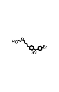 CN(CCO)CCCCc1ccc2c(-c3ccc(Br)cc3)nsc2c1